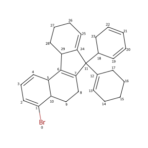 BrC1=CC=CC2C3=C(CCC12)C(C1=CCCCC1)(C1C=CC=CC1)C1=CCCCC13